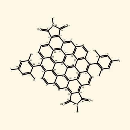 Cc1cc(C)c(-c2c3ccc4cc5c6c(=O)n(C)c(=O)c6c6ccc7c(-c8c(C)cc(C)cc8C)c8ccc9cc%10c%11c(=O)n(C)c(=O)c%11c%11ccc2c2c%11c%10c%10c9c8c8c7c6c5c5c4c3c2c%10c85)c(C)c1